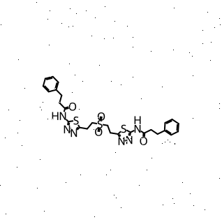 O=C(CCc1ccccc1)Nc1nnc(CCS(=O)(=O)CCc2nnc(NC(=O)CCc3ccccc3)s2)s1